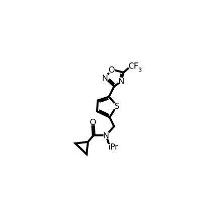 CC(C)N(Cc1ccc(-c2noc(C(F)(F)F)n2)s1)C(=O)C1CC1